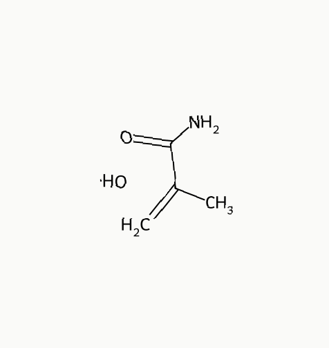 C=C(C)C(N)=O.[OH]